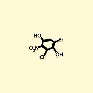 O=[N+]([O-])c1c(O)cc(Br)c(O)c1Cl